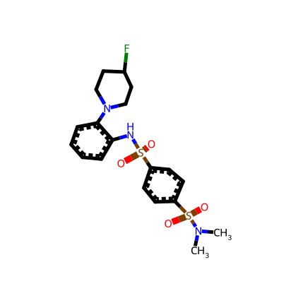 CN(C)S(=O)(=O)c1ccc(S(=O)(=O)Nc2ccccc2N2CCC(F)CC2)cc1